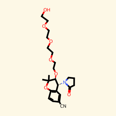 CC1(C)Oc2ccc(C#N)cc2[C@@H](N2CCCC2=O)[C@@H]1OCCOCCOCCOCCO